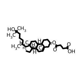 C[C@H](CCCC(C)(C)O)[C@H]1CC[C@H]2[C@@H]3CC=C4C[C@@H](OC(=O)CCC(=O)O)CC[C@]4(C)[C@H]3CC[C@]12C